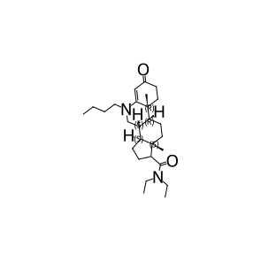 CCCCN1C[C@@H]2[C@@H](CC[C@]3(C)C(C(=O)N(CC)CC)CC[C@@H]23)[C@@]2(C)CCC(=O)C=C12